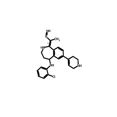 C/C(N=N)=C1/NCCC(Nc2ccccc2Cl)c2cc(C3=CCNCC3)ccc21